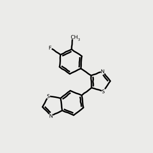 Cc1cc(-c2ncsc2-c2ccc3ncsc3c2)ccc1F